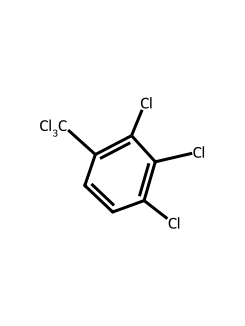 Clc1ccc(C(Cl)(Cl)Cl)c(Cl)c1Cl